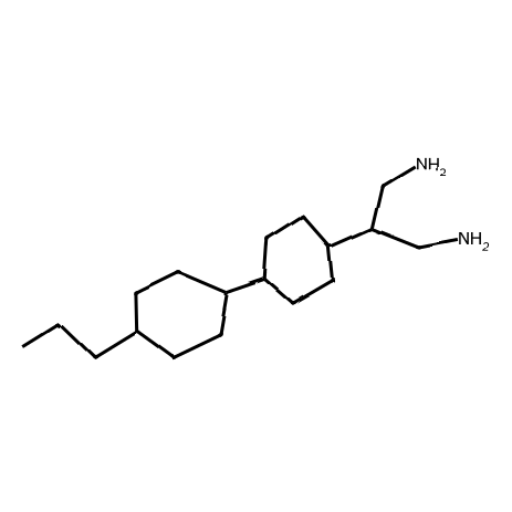 CCCC1CCC(C2CCC(C(CN)CN)CC2)CC1